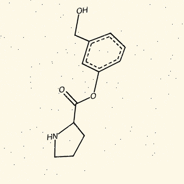 O=C(Oc1cccc(CO)c1)C1CCCN1